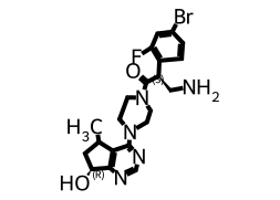 CC1C[C@@H](O)c2ncnc(N3CCN(C(=O)[C@H](CN)c4ccc(Br)cc4F)CC3)c21